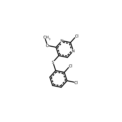 COc1nc(Cl)ncc1Sc1cccc(Cl)c1Cl